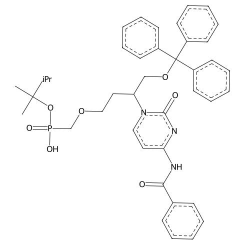 CC(C)C(C)(C)OP(=O)(O)COCCC(COC(c1ccccc1)(c1ccccc1)c1ccccc1)n1ccc(NC(=O)c2ccccc2)nc1=O